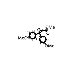 COC(=O)C1OC1(c1ccc(OC)cc1)c1ccc(OC)cc1